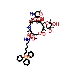 CC[C@H]1OC(=O)[C@H](C)[C@@H](C2C[C@@](C)(OC)[C@@H](O)[C@H](C)O2)[C@H](C)[C@@H](O[C@@H]2O[C@H](C)C[C@H](N(C)C)[C@H]2OC(C)=O)[C@](C)(O)C[C@@H](C)CN(C)[C@H](C)[C@@H](OC(=O)NCCCCCC[PH](c2ccccc2)(c2ccccc2)c2ccccc2)[C@]1(C)O